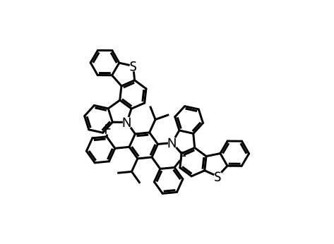 CC(C)c1c(-c2ccccc2F)c(-n2c3ccccc3c3c4c(ccc32)sc2ccccc24)c(C(C)C)c(-n2c3ccccc3c3c4c(ccc32)sc2ccccc24)c1-c1ccccc1F